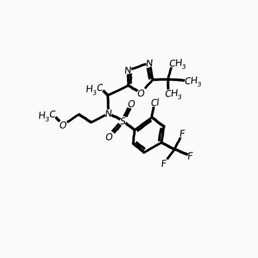 COCCN(C(C)c1nnc(C(C)(C)C)o1)S(=O)(=O)c1ccc(C(F)(F)F)cc1Cl